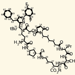 CC(C)[C@H](NC(=O)CCCCCN1C(=O)C=CC1=O)C(=O)N[C@@H](C)C(=O)N[C@@H](CCCCNC(=O)[C@@H]1CC[C@H](NC(=O)[C@@H](N)CCN(C(=O)CO)[C@@H](c2nn(-c3cc(F)ccc3F)cc2Cc2ccccc2)C(C)(C)C)C1)C(=O)O